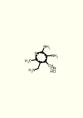 Cc1nc(N)c(N)c(C)c1CN.Cl.Cl